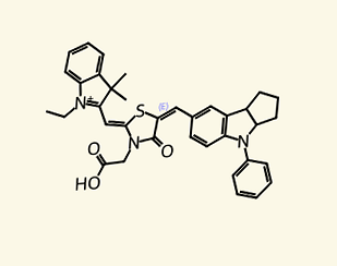 CC[N+]1=C(C=c2s/c(=C/c3ccc4c(c3)C3CCCC3N4c3ccccc3)c(=O)n2CC(=O)O)C(C)(C)c2ccccc21